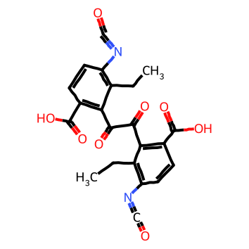 CCc1c(N=C=O)ccc(C(=O)O)c1C(=O)C(=O)c1c(C(=O)O)ccc(N=C=O)c1CC